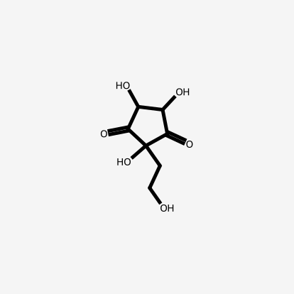 O=C1C(O)C(O)C(=O)C1(O)CCO